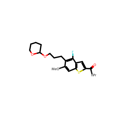 CCCC(=O)c1cc2c(F)c(CCCOC3CCCCO3)c(OC)cc2s1